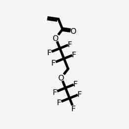 C=CC(=O)OC(F)(F)C(F)(F)COC(F)(F)C(F)(F)F